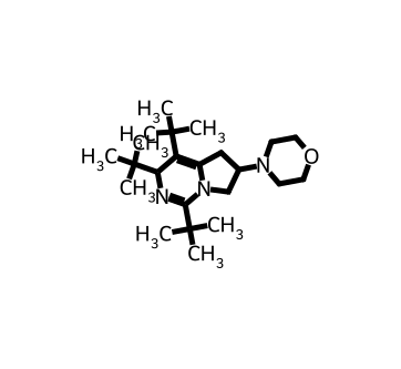 CC(C)(C)C1=NC(C(C)(C)C)C(C(C)(C)C)=C2CC(N3CCOCC3)CN12